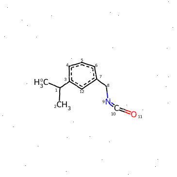 CC(C)c1cccc(CN=C=O)c1